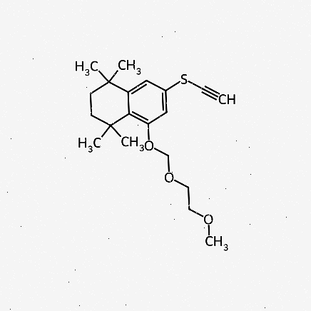 C#CSc1cc(OCOCCOC)c2c(c1)C(C)(C)CCC2(C)C